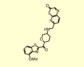 COc1cccc2sc(C(=O)C3CCC(NCc4ccc5ncc(=O)sc5n4)CO3)nc12